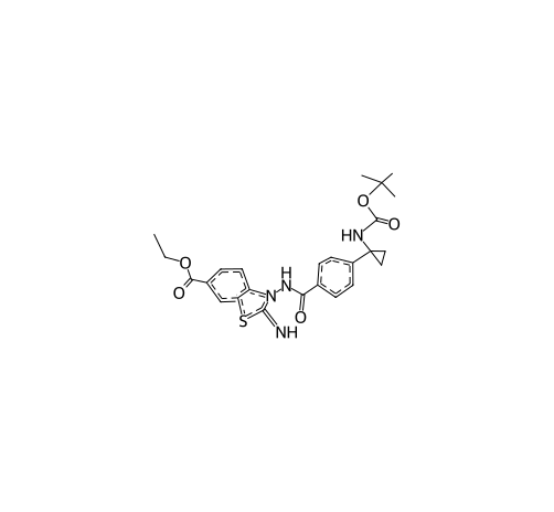 CCOC(=O)c1ccc2c(c1)sc(=N)n2NC(=O)c1ccc(C2(NC(=O)OC(C)(C)C)CC2)cc1